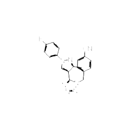 N#Cc1ccc(Cn2nnnc2-c2cn(-c3ccc(F)cc3)nc2I)cc1